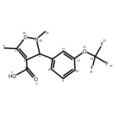 CC1=C(C(=O)O)C(c2cccc(OC(F)(F)F)c2)N(C)O1